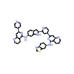 c1cnc2cc(-c3ccncc3)nc(Nc3ccc4cc(-c5cc(-c6cc7ncccc7c(Nc7ccc8ncsc8c7)n6)ccn5)[nH]c4c3)c2c1